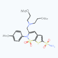 COCCN(CCOC)CC1=Cc2cc(S(N)(=O)=O)sc2S(=O)(=O)N1c1ccc(OC)cc1